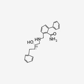 NC(=O)c1c(CNC[C@@H](O)[CH]Cc2ccccc2)cccc1-c1ccccc1